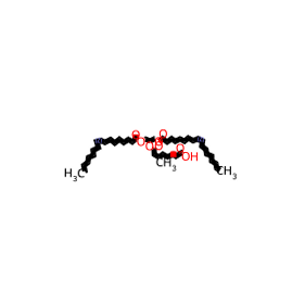 CCCCCCCC/C=C\CCCCCCCC(=O)OCC(COC(=O)CCCCCCC/C=C\CCCCCCCC)OC(=O)CC(C)CCCCC(=O)O